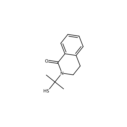 CC(C)(S)N1CCc2ccccc2C1=O